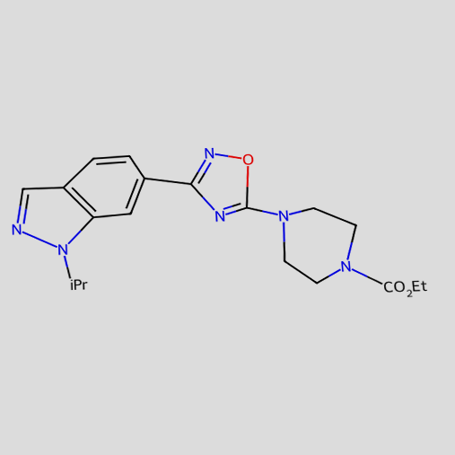 CCOC(=O)N1CCN(c2nc(-c3ccc4cnn(C(C)C)c4c3)no2)CC1